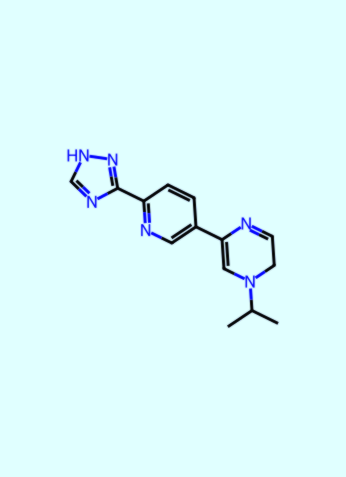 CC(C)N1C=C(c2ccc(-c3nc[nH]n3)nc2)N=CC1